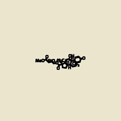 CCOC(=O)O[C@]1(C(=O)OC/C=C/C(=O)OC)CC[C@H]2[C@@H]3CCC4=CC(=O)C=C[C@]4(C)[C@H]3[C@@H](O)C[C@@]21C